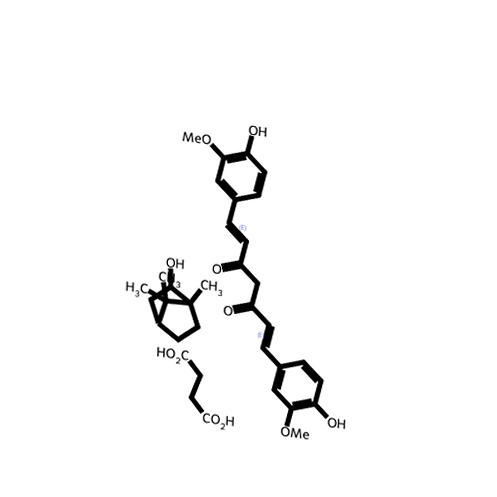 CC1(C)C2CCC1(C)C(O)C2.COc1cc(/C=C/C(=O)CC(=O)/C=C/c2ccc(O)c(OC)c2)ccc1O.O=C(O)CCC(=O)O